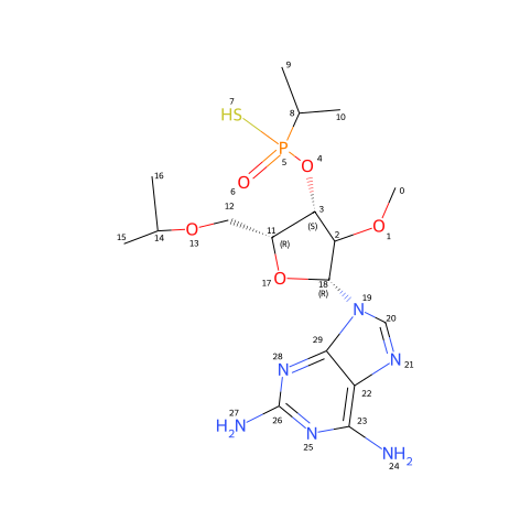 COC1[C@@H](OP(=O)(S)C(C)C)[C@@H](COC(C)C)O[C@H]1n1cnc2c(N)nc(N)nc21